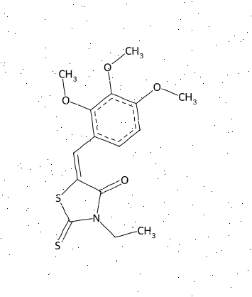 CCN1C(=O)/C(=C\c2ccc(OC)c(OC)c2OC)SC1=S